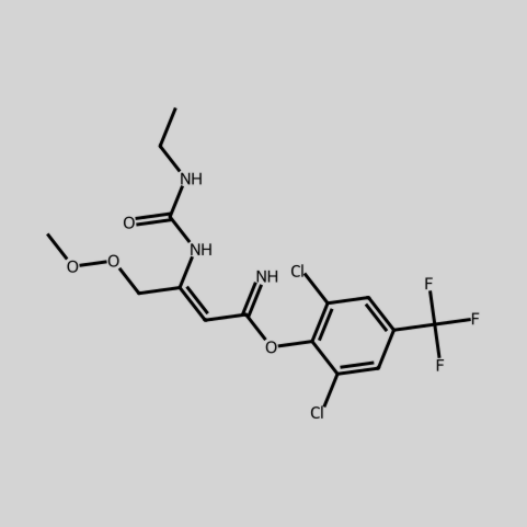 CCNC(=O)N/C(=C\C(=N)Oc1c(Cl)cc(C(F)(F)F)cc1Cl)COOC